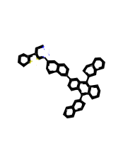 c1ccc2cc(-c3c4ccccc4c(-c4ccc5ccccc5c4)c4cc(-c5ccc6cc(-c7nccc8c7sc7ccccc78)ccc6c5)ccc34)ccc2c1